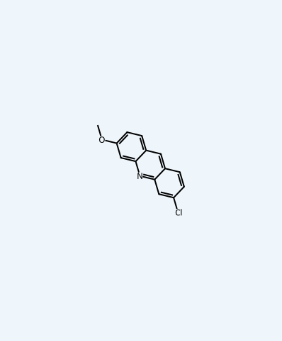 COc1ccc2cc3ccc(Cl)cc3nc2c1